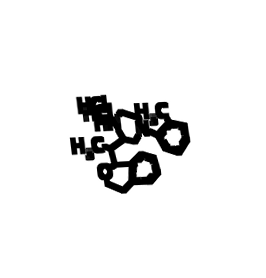 Cc1ccccc1N1CCNC(C(C)C2OCCc3ccccc32)C1.Cl.Cl